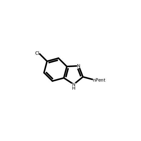 CCCCCc1nc2cc(Cl)ccc2[nH]1